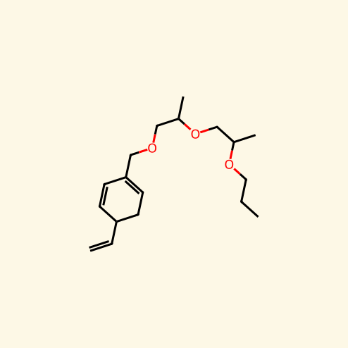 C=CC1C=CC(COCC(C)OCC(C)OCCC)=CC1